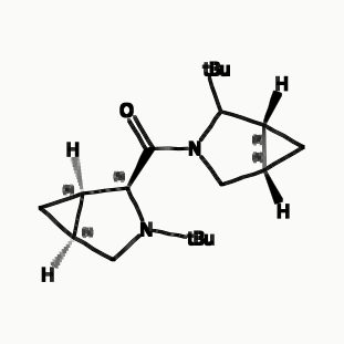 CC(C)(C)C1[C@@H]2C[C@@H]2CN1C(=O)[C@@H]1[C@@H]2C[C@@H]2CN1C(C)(C)C